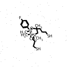 CC1(CCCS)C[Si](C)(CCCS)[Si](C)(C)[Si](C)(c2ccc(F)cc2)O1